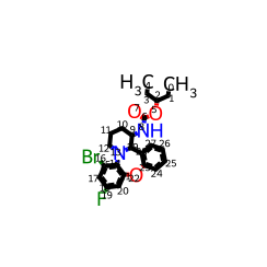 CCC(CC)OC(=O)NC1CCCN2c3c(Br)cc(F)cc3Oc3ccccc3C12